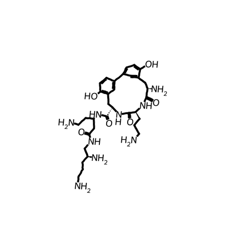 NCCC[C@H](N)CNC(=O)CC(CCN)NC(=O)[C@@H]1Cc2cc(ccc2O)-c2ccc(O)c(c2)C[C@H](N)C(=O)N[C@@H](CCCN)C(=O)N1